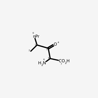 CCCC(C)C(=O)C(N)C(=O)O